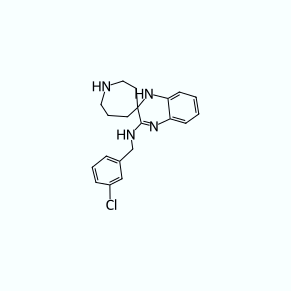 Clc1cccc(CNC2=Nc3ccccc3NC23CCCNCC3)c1